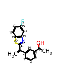 C=C(c1cccc(C(C)O)c1)c1nc2cc(F)ccc2s1